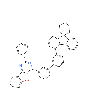 c1ccc(-c2nc(-c3cccc(-c4cccc(-c5cccc6c5-c5ccccc5C65CCCCC5)c4)c3)c3oc4ccccc4c3n2)cc1